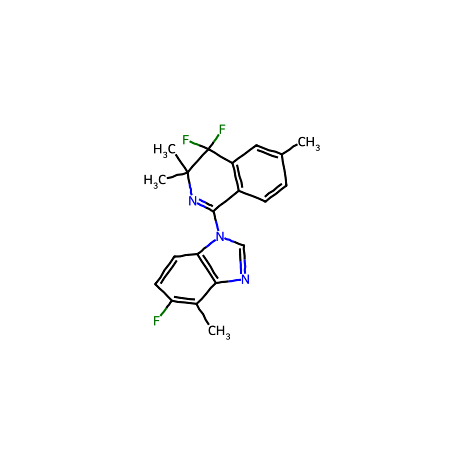 Cc1ccc2c(c1)C(F)(F)C(C)(C)N=C2n1cnc2c(C)c(F)ccc21